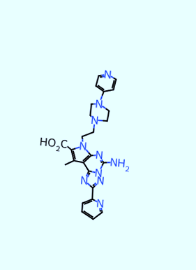 Cc1c(C(=O)O)n(CCN2CCN(c3ccncc3)CC2)c2nc(N)n3nc(-c4ccccn4)nc3c12